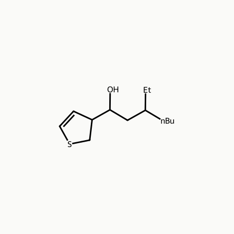 CCCCC(CC)CC(O)C1C=CSC1